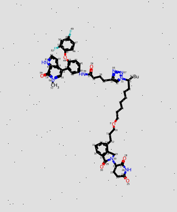 CCC(C)C(CCCCCCCOCCCc1cccc2c1CN(C1CCC(=O)NC1=O)C2=O)n1cc(CCCC(=O)Nc2ccc(Oc3ccc(F)cc3F)c(-c3cn(C)c(=O)c4[nH]ccc34)c2)nn1